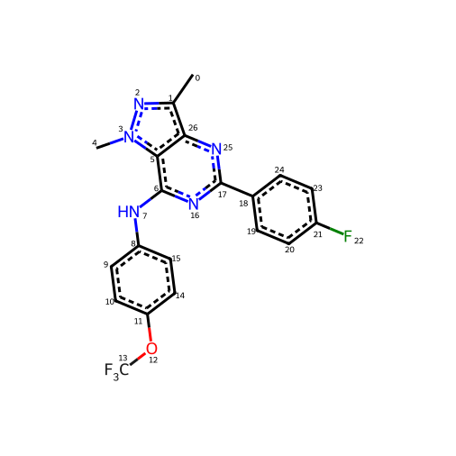 Cc1nn(C)c2c(Nc3ccc(OC(F)(F)F)cc3)nc(-c3ccc(F)cc3)nc12